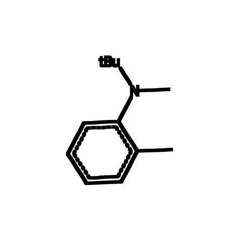 Cc1ccccc1N(C)C(C)(C)C